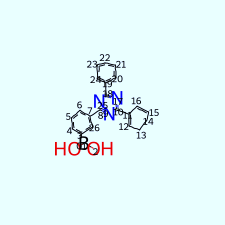 OB(O)c1cccc(-c2nc(C3=CCCC=C3)nc(-c3ccccc3)n2)c1